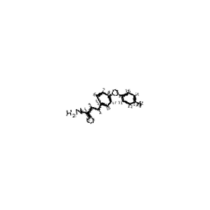 NC(=O)CCc1ccc(Oc2ccc(F)cc2)cc1